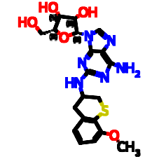 COc1cccc2c1SCC(Nc1nc(N)c3ncn([C@@H]4O[C@H](CO)[C@@H](O)[C@H]4O)c3n1)C2